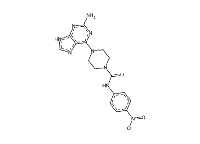 Nc1nc(N2CCN(C(=O)Nc3ccc([N+](=O)[O-])cc3)CC2)c2nc[nH]c2n1